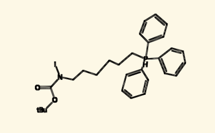 CC(C)(C)OC(=O)N(I)CCCCCC[PH](c1ccccc1)(c1ccccc1)c1ccccc1